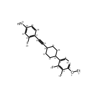 C=C(OCC)/C(F)=C(F)\C(=C/C)C1CCC(C#Cc2ccc(CCC)cc2F)CC1